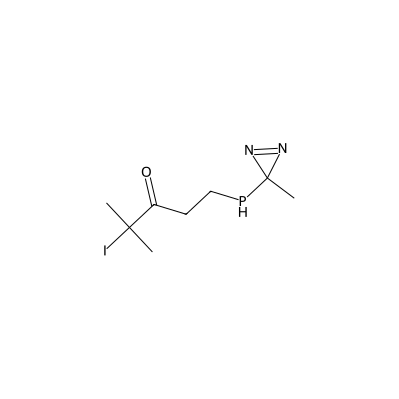 CC1(PCCC(=O)C(C)(C)I)N=N1